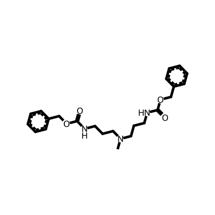 CN(CCCNC(=O)OCc1ccccc1)CCCNC(=O)OCc1ccccc1